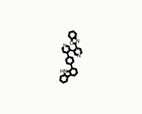 c1ccc2oc(-c3ccncc3-c3cnccc3-c3ccc(-c4cccc5c4[nH]c4ccccc45)cc3)nc2c1